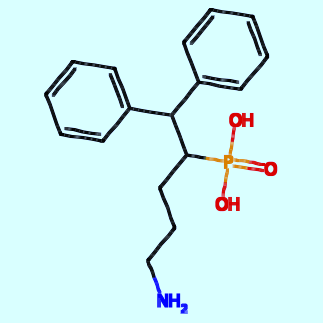 NCCCC(C(c1ccccc1)c1ccccc1)P(=O)(O)O